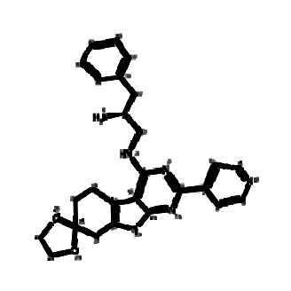 N[C@H](CNc1nc(-c2ccncc2)nc2sc3c(c12)CCC1(C3)OCCO1)Cc1ccccc1